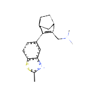 Cc1nc2cc(C3=C(CN(C)C)C4CCC3C4)ccc2s1